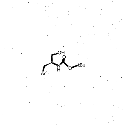 CC(=O)C[C@@H](CO)NC(=O)OC(C)(C)C